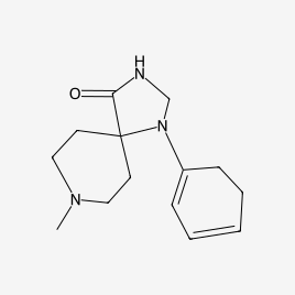 CN1CCC2(CC1)C(=O)NCN2C1=CC=CCC1